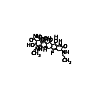 CCCNC1Cc2c(F)c3c(c(O)c2NC1=O)C(=O)C1=C(O)[C@]2(O)C(=O)C(C(N)=O)=C(O)[C@@H](NCC)[C@@H]2C[C@@H]1C3